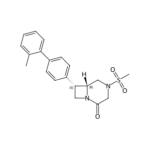 Cc1ccccc1-c1ccc([C@H]2CN3C(=O)CN(S(C)(=O)=O)C[C@@H]23)cc1